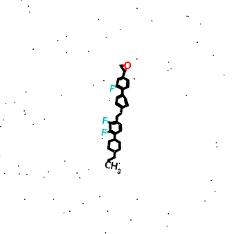 CCCC1CCC(c2ccc(CCc3ccc(-c4ccc(C5CO5)cc4F)cc3)c(F)c2F)CC1